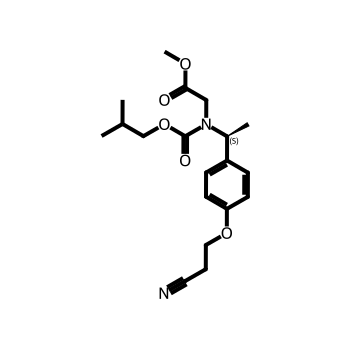 COC(=O)CN(C(=O)OCC(C)C)[C@@H](C)c1ccc(OCCC#N)cc1